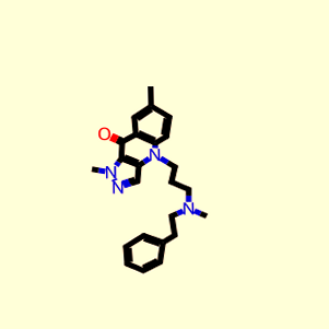 Cc1ccc2c(c1)c(=O)c1c(cnn1C)n2CCCN(C)CCc1ccccc1